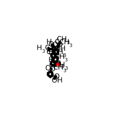 CC(C)C1=C2[C@H]3CC[C@@H]4[C@@]5(C)CC[C@H](OC(=O)[C@H]6CCC[C@@H](C(=O)O)C6)C(C)(C)[C@@H]5CC[C@@]4(C)[C@]3(C)CC[C@@]2(NC(=O)OC(C)(C)C)CC1=O